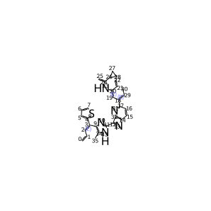 C=C/C=C(/c1cccs1)c1nc(C2=Nc3ccc(C(/C=C(\C=C)NC(=C)C4CC4)=C/C)nc32)[nH]c1C